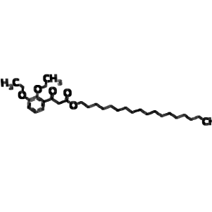 CCCCCCCCCCCCCCCCCCOC(=O)CC(=O)c1cccc(OCC)c1OCC